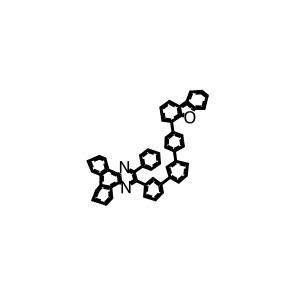 c1ccc(-c2nc3c4ccccc4c4ccccc4c3nc2-c2cccc(-c3cccc(-c4ccc(-c5cccc6c5oc5ccccc56)cc4)c3)c2)cc1